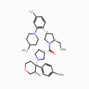 COC[C@@H]1C[C@@H](c2ccc(C(F)(F)F)cc2N2CCC(C(=O)O)CC2)CN1C(=O)[C@H]1CCN([C@@]2(c3ccc(OC)cc3)CCOC[C@@H]2F)C1